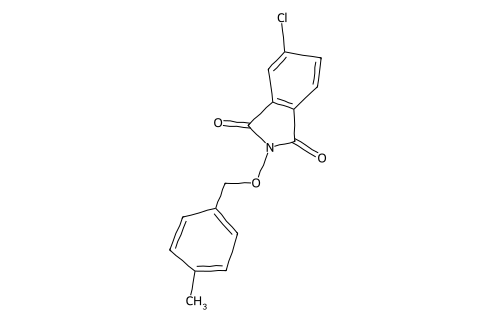 Cc1ccc(CON2C(=O)c3ccc(Cl)cc3C2=O)cc1